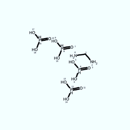 NCN.O=[PH](O)O.O=[PH](O)O.O=[PH](O)O.O=[PH](O)O